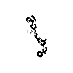 Cc1cc(N2CCC(C)(c3ccccc3)C2)cn2nc(CCNCC3(N)CCN(c4nccn5ccnc45)CC3)nc12